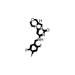 O=c1nc(NCc2cc(F)c(F)cc2F)cc2n1C[C@@H]1COCCN21